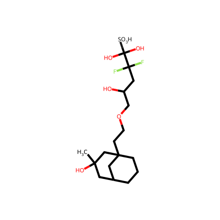 CC1(O)CC2CCCC(CCOCC(O)CC(F)(F)C(O)(O)S(=O)(=O)O)(C2)C1